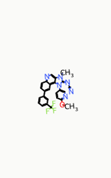 COc1ccc(-n2c(=NC#N)n(C)c3cnc4ccc(-c5cccc(C(F)(F)F)c5)cc4c32)cn1